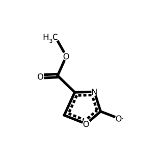 COC(=O)c1coc([O])n1